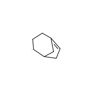 [CH]1CCC2=CCC1C2